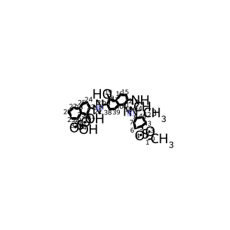 CCS(=O)(=O)c1ccc(/N=N/c2c(NC)ccc3c(O)c(/N=N/c4ccc5cccc(S(=O)(=O)O)c5c4O)ccc23)c(C)c1